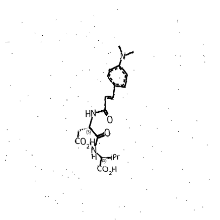 CC(C)[C@H](NC(=O)[C@H](CC(=O)O)NC(=O)C=Cc1ccc(N(C)C)cc1)C(=O)O